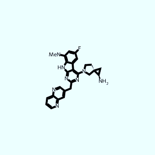 CNc1cc(F)cc2c1[nH]c1nc(Cc3cnc4cccnc4c3)nc(N3CC[C@@]4(C[C@H]4N)C3)c12